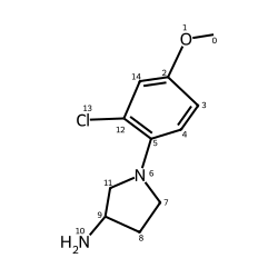 COc1ccc(N2CCC(N)C2)c(Cl)c1